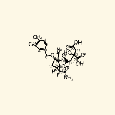 N#C[C@@]1(N)[C@H](OCc2ccc(Cl)c(Cl)c2)C[C@@H]2[C@]1(OC(=O)CC(O)(CC(=O)O)C(=O)O)[C@@]2(F)C(N)=O